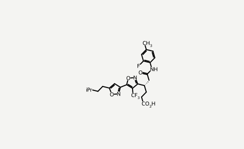 Cc1ccc(NC(=O)C[C@H](CCC(=O)O)c2noc(-c3cc(CCC(C)C)on3)c2C(F)(F)F)c(F)c1